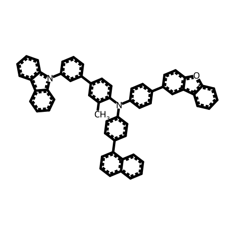 Cc1cc(-c2cccc(-n3c4ccccc4c4ccccc43)c2)ccc1N(c1ccc(-c2ccc3oc4ccccc4c3c2)cc1)c1ccc(-c2cccc3ccccc23)cc1